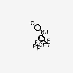 [O][C@H]1CC[C@H](Nc2ccc(OC(F)(F)F)c(C(F)(F)F)c2)CC1